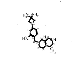 Cc1nc(N2CC(C)(N)C2)ccc1CN1CCN2[C@H](CNC[C@H]2C)C1